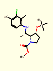 Cc1c(N[C@@H](C)[C@@H]2[C@@H](O[Si](C)(C)C(C)(C)C)CCN2C(=O)OC(C)(C)C)ccc(C#N)c1Cl